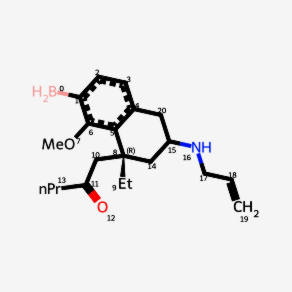 Bc1ccc2c(c1OC)[C@@](CC)(CC(=O)CCC)CC(NCC=C)C2